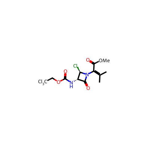 COC(=O)C(=C(C)C)N1C(=O)[C@H](NC(=O)OCC(Cl)(Cl)Cl)[C@H]1Cl